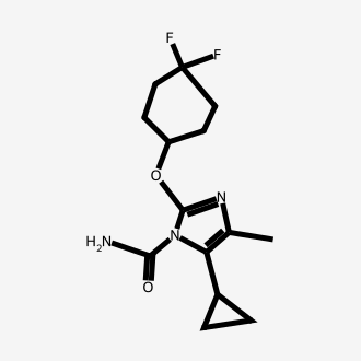 Cc1nc(OC2CCC(F)(F)CC2)n(C(N)=O)c1C1CC1